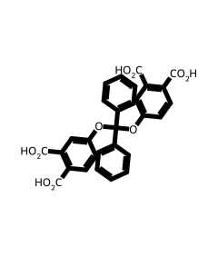 O=C(O)c1ccc(OC(Oc2ccc(C(=O)O)c(C(=O)O)c2)(c2ccccc2)c2ccccc2)cc1C(=O)O